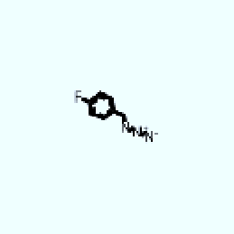 [N-]=[N+]=NCc1ccc(F)cc1